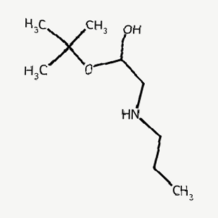 CCCNCC(O)OC(C)(C)C